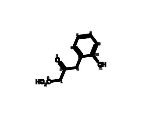 O=C(O)CC(=O)Cc1ccccc1O